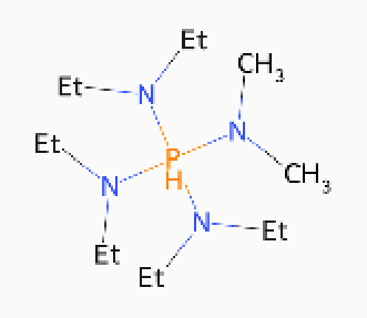 CCN(CC)[PH](N(C)C)(N(CC)CC)N(CC)CC